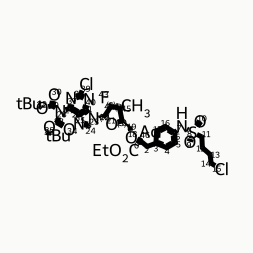 CCOC(=O)C(Cc1ccc(NS(=O)(=O)CCCCCl)cc1)(OC[C@H]1O[C@@H](n2cnc3c(N(C(=O)OC(C)(C)C)C(=O)OC(C)(C)C)nc(Cl)nc32)[C@@H](F)[C@@H]1C)C(C)=O